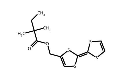 CCC(C)(C)C(=O)OCC1=CSC(=C2SC=CS2)S1